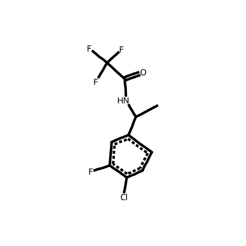 CC(NC(=O)C(F)(F)F)c1ccc(Cl)c(F)c1